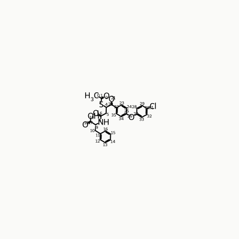 CC(=O)SC(CC(=O)N[C@@H](Cc1ccccc1)C(=O)O)C(=O)c1ccc(Oc2ccc(Cl)cc2)cc1